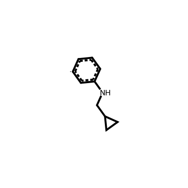 [c]1cccc(NCC2CC2)c1